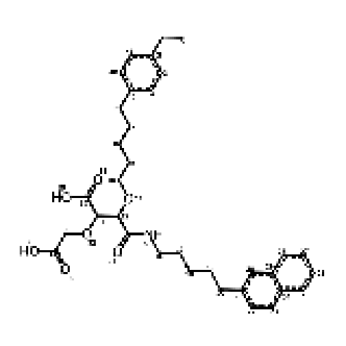 CCc1ccc(CCCCCOC(C(=O)NCCCCCc2ccc3ccccc3c2)C(OCC(=O)O)C(=O)O)cc1